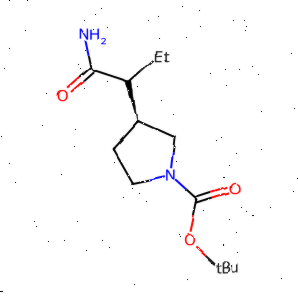 CCC(C(N)=O)[C@@H]1CCN(C(=O)OC(C)(C)C)C1